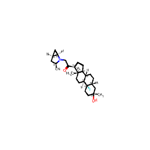 C[C@@]1(O)CC[C@@]2(F)[C@H](CC[C@H]3[C@@H]4CC[C@H](C(=O)CN5[C@@H]6C[C@@H]6C[C@@H]5C#N)[C@@]4(C)CC[C@@H]32)C1